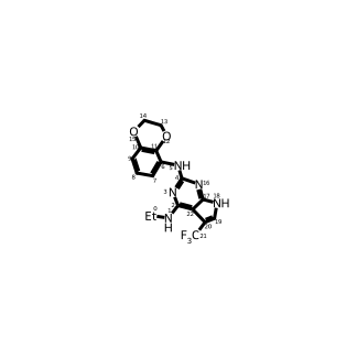 CCNc1nc(Nc2cc[c]c3c2OCCO3)nc2[nH]cc(C(F)(F)F)c12